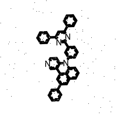 c1ccc(-c2cc3c4c(cccc4c2)N(c2cccc(-c4nc(-c5ccccc5)cc(-c5ccccc5)n4)c2)c2ccncc2-3)cc1